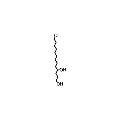 OCCCCCCCCCC(O)CCCO